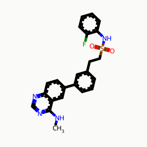 CNc1ncnc2ccc(-c3cccc(CCS(=O)(=O)Nc4ccccc4F)c3)cc12